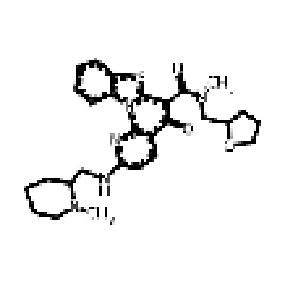 CN(CC1CCCO1)C(=O)c1c(=O)c2ccc(NCC3CCCCN3C)nc2n2c1sc1ccccc12